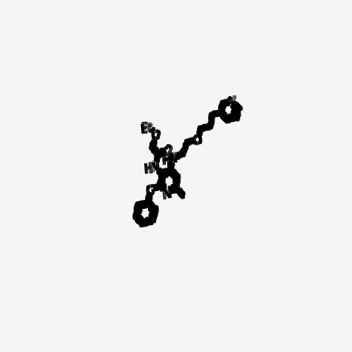 CCOCC(=O)Nc1c(NCCOCCCc2cccnc2)cc(C)nc1Oc1ccccc1